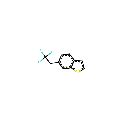 FC(F)(F)Cc1ccc2c[c]sc2c1